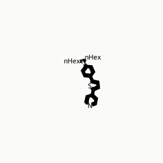 CCCCCCN(CCCCCC)c1ccc(-c2ccc(-c3ccncc3)s2)cc1